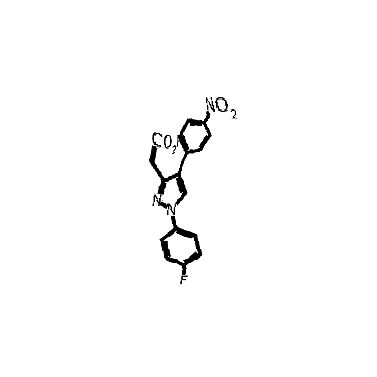 O=C(O)Cc1nn(-c2ccc(F)cc2)cc1-c1ccc([N+](=O)[O-])cc1